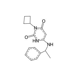 CC(Nc1cc(=O)n(C2CCC2)c(=O)[nH]1)c1ccccc1